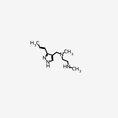 C/C=C/c1n[nH]cc1CN(C)CCNC